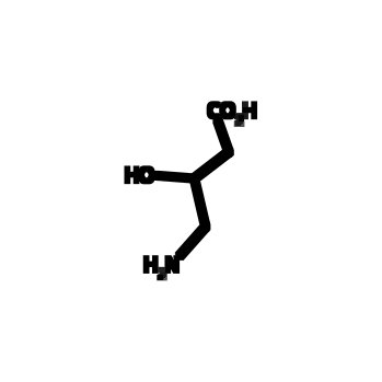 NCC(O)CC(=O)O